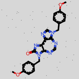 COc1ccc(Cn2c3ncnc4c(ncn4Cc4ccc(OC)cc4)c-3nc2=O)cc1